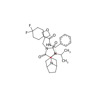 CC(C)N1C(=O)N(CC2COC2)C(=O)C12CC1CCC(C2)N1CC[C@H](NC(=O)C1CCC(F)(F)CC1)c1ccccc1